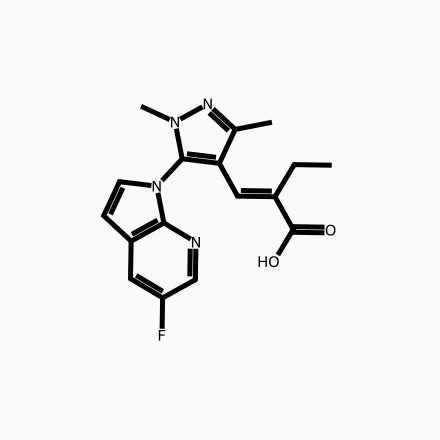 CCC(=Cc1c(C)nn(C)c1-n1ccc2cc(F)cnc21)C(=O)O